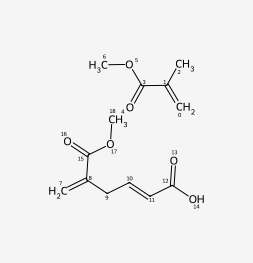 C=C(C)C(=O)OC.C=C(CC=CC(=O)O)C(=O)OC